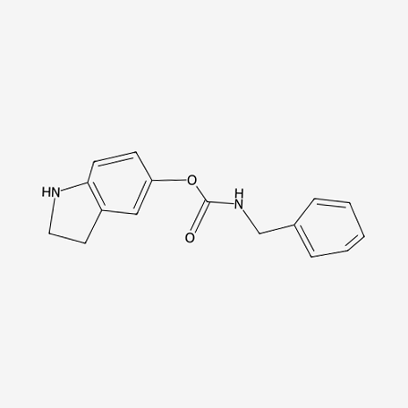 O=C(NCc1ccccc1)Oc1ccc2c(c1)CCN2